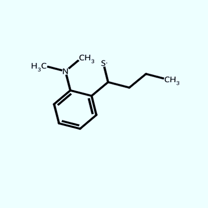 CCCC([S])c1ccccc1N(C)C